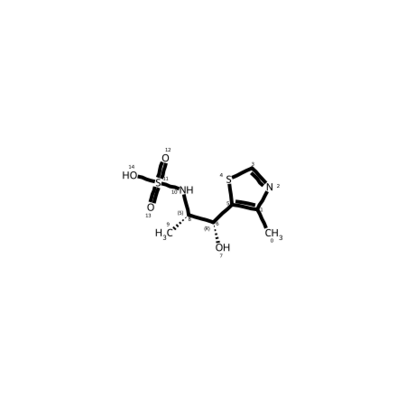 Cc1ncsc1[C@H](O)[C@H](C)NS(=O)(=O)O